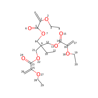 C=C(OCC)C(=O)OCC(CC)(COC(=O)C(=C)OCC)COC(=O)C(=C)OCC